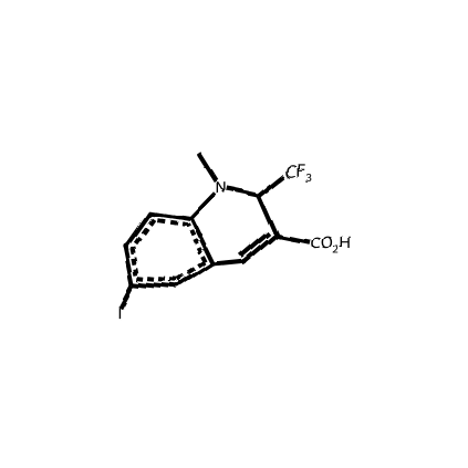 CN1c2ccc(I)cc2C=C(C(=O)O)C1C(F)(F)F